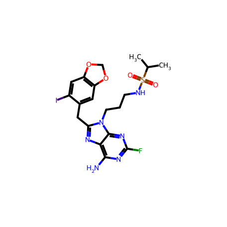 CC(C)S(=O)(=O)NCCCn1c(Cc2cc3c(cc2I)OCO3)nc2c(N)nc(F)nc21